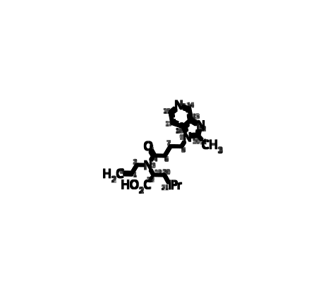 C=CCN(C(=O)CCCn1c(C)nc2cnccc21)[C@@H](CC(C)C)C(=O)O